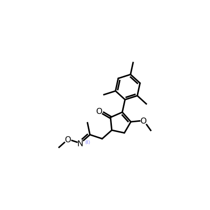 CO/N=C(\C)CC1CC(OC)=C(c2c(C)cc(C)cc2C)C1=O